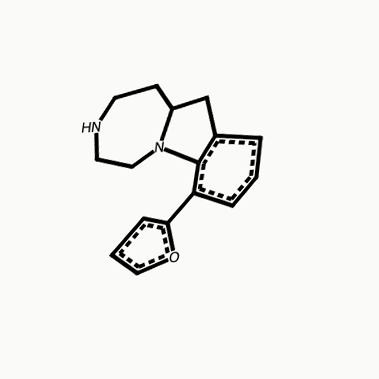 c1coc(-c2cccc3c2N2CCNCCC2C3)c1